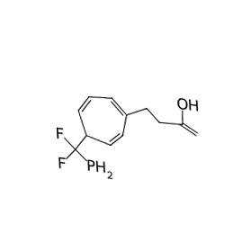 C=C(O)CCC1=CC=CC(C(F)(F)P)C=C1